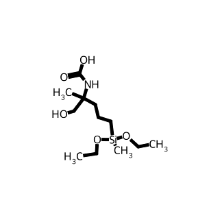 CCO[Si](C)(CCCC(C)(CO)NC(=O)O)OCC